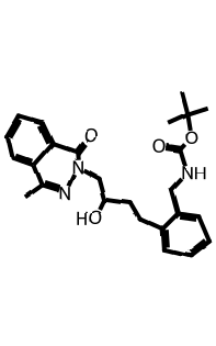 Cc1nn(CC(O)CCc2ccccc2CNC(=O)OC(C)(C)C)c(=O)c2ccccc12